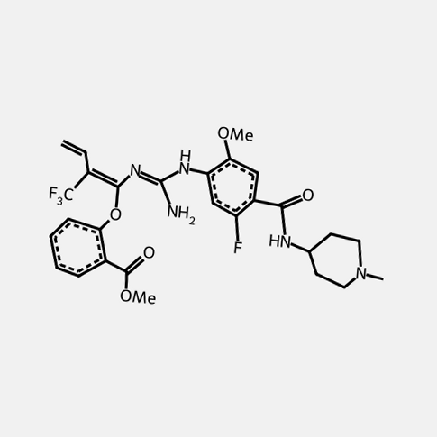 C=C/C(=C(\N=C(/N)Nc1cc(F)c(C(=O)NC2CCN(C)CC2)cc1OC)Oc1ccccc1C(=O)OC)C(F)(F)F